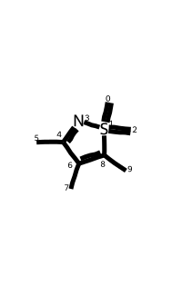 C=S1(=C)N=C(C)C(C)=C1C